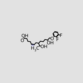 CC(O)C(C/C=C\CCCC(=O)O)CCCC(O)COc1cccc(F)c1F